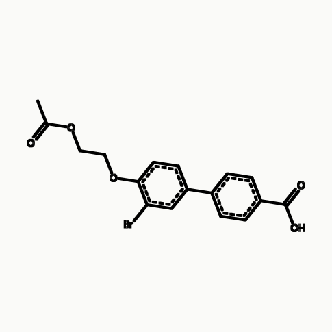 CC(=O)OCCOc1ccc(-c2ccc(C(=O)O)cc2)cc1Br